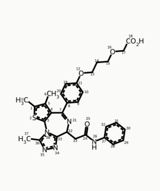 Cc1sc2c(c1C)C(c1ccc(OCCCOCC(=O)O)cc1)=NC(CC(=O)Nc1ccccc1)c1nnc(C)n1-2